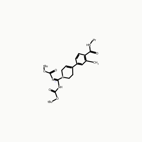 Cc1cc(C2=CCN(/C(=N\C(=O)OC(C)(C)C)NC(=O)OC(C)(C)C)CC2)ccc1C(=O)NC(C)C